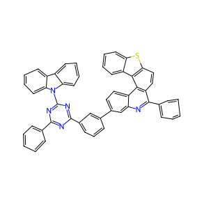 c1ccc(-c2nc(-c3cccc(-c4ccc5c(c4)nc(-c4ccccc4)c4ccc6sc7ccccc7c6c45)c3)nc(-n3c4ccccc4c4ccccc43)n2)cc1